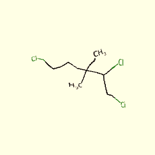 CC(C)(CCCl)C(Cl)CCl